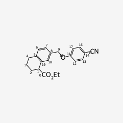 CCOC(=O)C1CCCc2ccc(COc3ccc(C#N)cc3)cc21